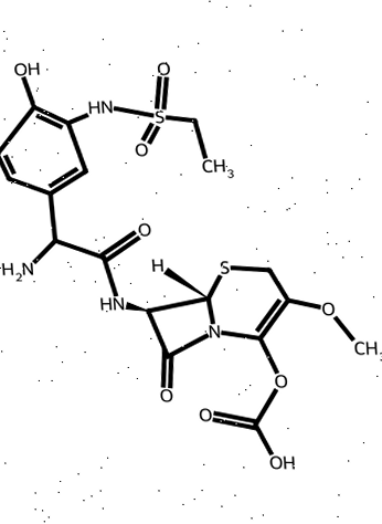 CCS(=O)(=O)Nc1cc(C(N)C(=O)N[C@@H]2C(=O)N3C(OC(=O)O)=C(OC)CS[C@@H]23)ccc1O